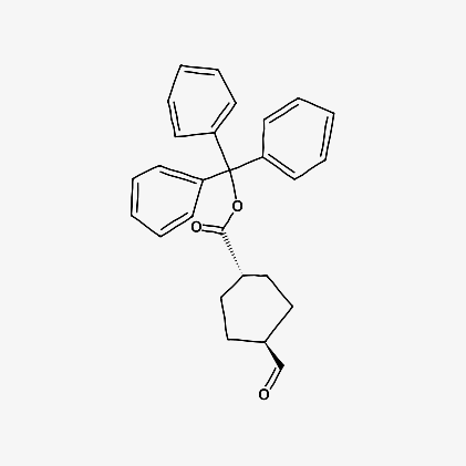 O=C[C@H]1CC[C@H](C(=O)OC(c2ccccc2)(c2ccccc2)c2ccccc2)CC1